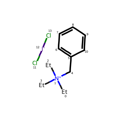 CC[N+](CC)(CC)Cc1ccccc1.Cl[I-]Cl